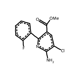 COC(=O)c1cc(Cl)c(N)nc1-c1ccccc1F